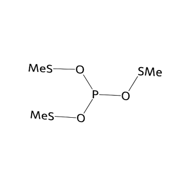 CSOP(OSC)OSC